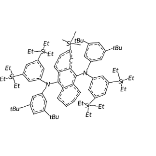 CC[Si](CC)(CC)c1cc(N(c2cc(C(C)(C)C)cc(C(C)(C)C)c2)c2c3ccccc3c(N(c3cc(C(C)(C)C)cc(C(C)(C)C)c3)c3cc([Si](CC)(CC)CC)cc([Si](CC)(CC)CC)c3)c3cc([Si](C)(C)C)ccc23)cc([Si](CC)(CC)CC)c1